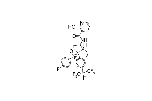 O=C(N[C@@H]1CC[C@@]2(S(=O)(=O)c3ccc(F)cc3)c3ccc(C(F)(C(F)(F)F)C(F)(F)F)cc3CC[C@@H]12)c1cccnc1O